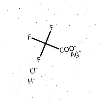 O=C([O-])C(F)(F)F.[Ag+].[Cl-].[H+]